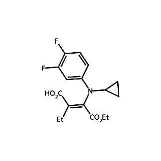 CCOC(=O)C(=C(CC)C(=O)O)N(c1ccc(F)c(F)c1)C1CC1